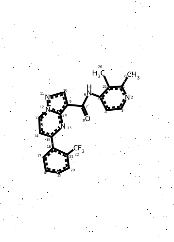 Cc1nccc(NC(=O)c2cnn3ccc(-c4ccccc4C(F)(F)F)nc23)c1C